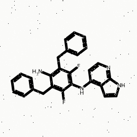 Nc1c(Cc2ccccc2)c(F)c(Nc2ccnc3[nH]ccc23)c(F)c1Cc1ccccc1